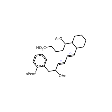 CCCCCc1ccccc1CC(/C=C/C=C/C1CCCCC1C(CCCC(=O)O)OC(C)=O)OC(C)=O